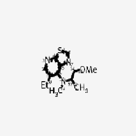 CCc1cnc2scnc2c1N(C)C(C)COC